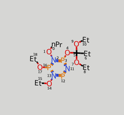 CCCOn1p(OC(CC)(OCC)OCC)npn(OCC)p1OCC